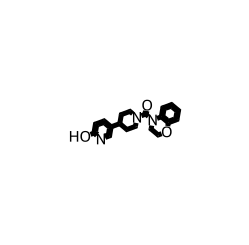 O=C(N1CCC(c2ccc(O)nc2)CC1)N1CCOc2ccccc21